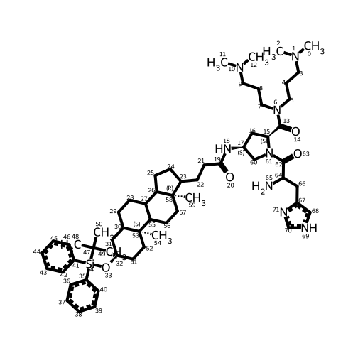 CN(C)CCCN(CCCN(C)C)C(=O)[C@@H]1C[C@H](NC(=O)CCC2CCC3C4CCC5C[C@H](O[Si](c6ccccc6)(c6ccccc6)C(C)(C)C)CC[C@]5(C)C4CC[C@]23C)CN1C(=O)C(N)Cc1c[nH]cn1